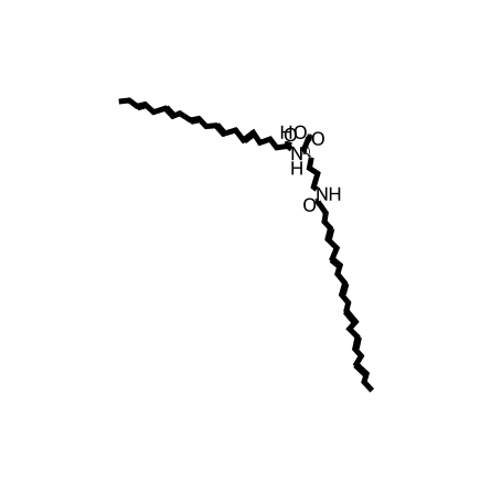 CCC=CCC=CCC=CCC=CCC=CCC=CCCC(=O)NCCCC[C@H](NC(=O)CCCC=CCC=CCC=CCC=CCC=CCC)C(=O)O